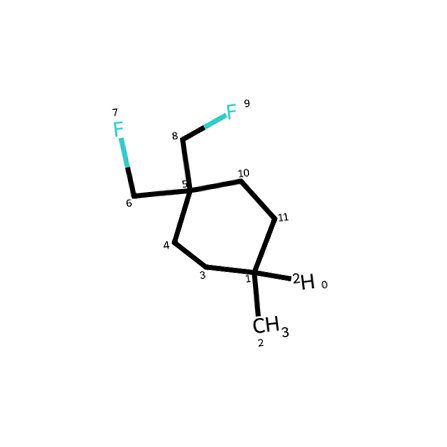 [2H]C1(C)CCC(CF)(CF)CC1